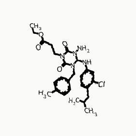 CCOC(=O)CCN1C(=O)N(N)C(Nc2ccc(CC(C)C)c(Cl)c2)N(Cc2ccc(C)cc2)C1=O